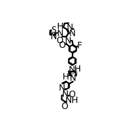 O=C1CCN(c2cc(CN3C[C@H]4C[C@@H]3CN4c3ccc(-c4cc(F)c5c(c4)C(=O)N(C(C(=O)Nc4nccs4)c4ncn6c4CCC6)C5)cc3)ccn2)C(=O)N1